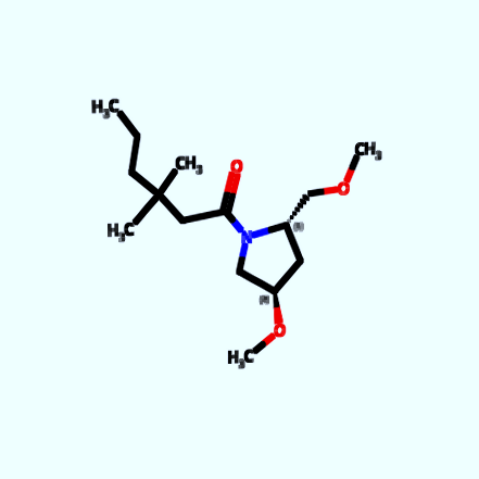 CCCC(C)(C)CC(=O)N1C[C@H](OC)C[C@H]1COC